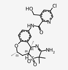 C[C@H]1C[C@@H]2[C@](C)(N=C(N)C(C)(C)S2(=O)=O)c2cc(NC(=O)c3ncc(Cl)cc3CO)ccc2O1